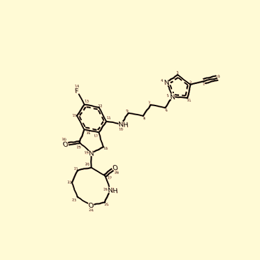 C#Cc1cnn(CCCCNc2cc(F)cc3c2CN(C2CCCOCNC2=O)C3=O)c1